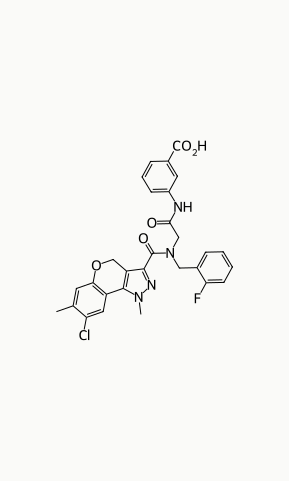 Cc1cc2c(cc1Cl)-c1c(c(C(=O)N(CC(=O)Nc3cccc(C(=O)O)c3)Cc3ccccc3F)nn1C)CO2